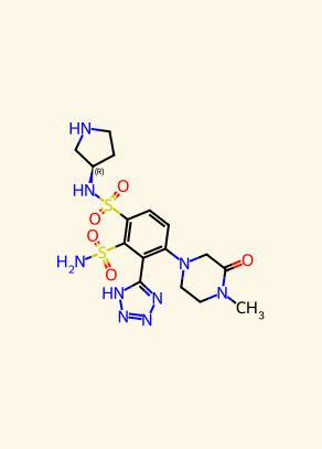 CN1CCN(c2ccc(S(=O)(=O)N[C@@H]3CCNC3)c(S(N)(=O)=O)c2-c2nnn[nH]2)CC1=O